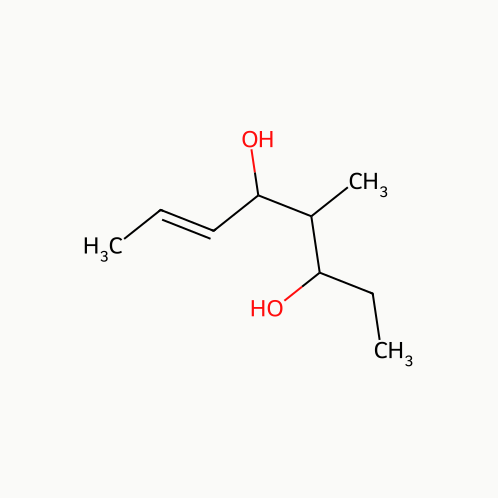 C/C=C/C(O)C(C)C(O)CC